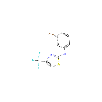 FC(F)(F)c1csc(Nc2cccc(Br)c2)n1